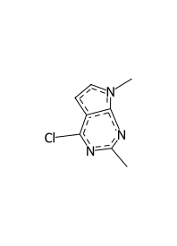 Cc1nc(Cl)c2ccn(C)c2n1